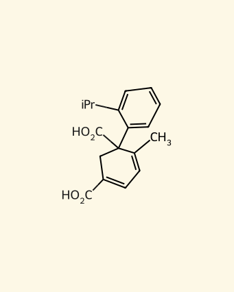 CC1=CC=C(C(=O)O)CC1(C(=O)O)c1ccccc1C(C)C